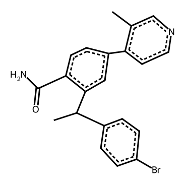 Cc1cnccc1-c1ccc(C(N)=O)c(C(C)c2ccc(Br)cc2)c1